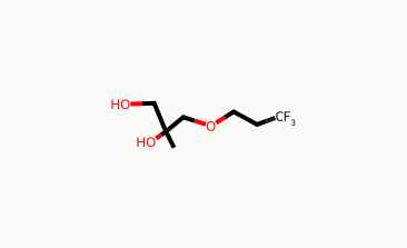 CC(O)(CO)COCCC(F)(F)F